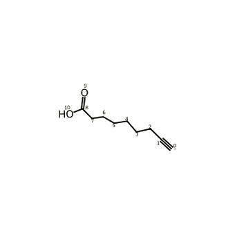 [C]#CCCCCCCC(=O)O